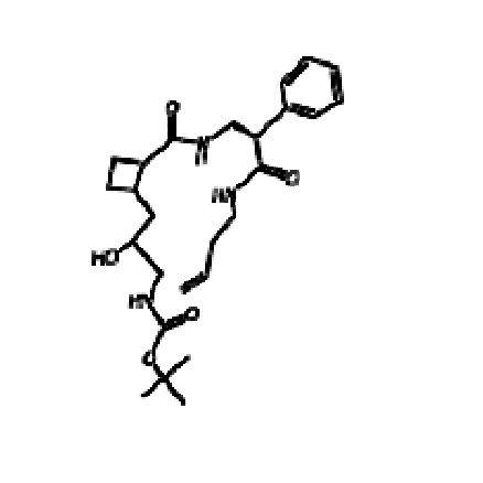 C=CCCNC(=O)[C@@H](CNC(=O)C1CCC1CC(O)CNC(=O)OC(C)(C)C)c1ccccc1